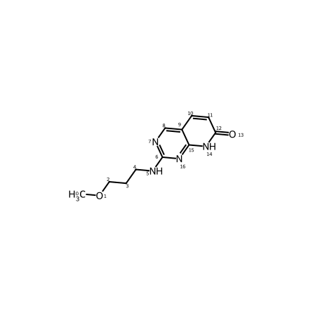 COCCCNc1ncc2ccc(=O)[nH]c2n1